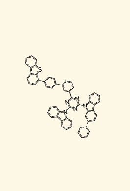 c1ccc(-c2ccc3c4ccccc4n(-c4nc(-c5cccc(-c6ccc(-c7cccc8c7sc7ccccc78)cc6)c5)nc(-n5c6ccccc6c6ccccc65)n4)c3c2)cc1